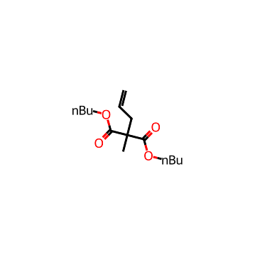 C=CCC(C)(C(=O)OCCCC)C(=O)OCCCC